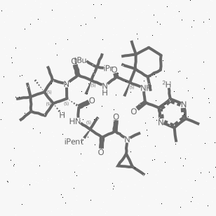 [2H]c1nc(C)c(C)nc1C(=O)N[C@](C)(C(=O)N[C@](C)(C(=O)N1C(C)[C@@]2(C)[C@H](CC(C)C2(C)C)[C@H]1C(=O)N[C@](C)(C(=O)C(=O)N(C)C1CC1C)C(C)CCC)C(C)(C(C)C)C(C)(C)C)C1(C)C(C)CCCC1(C)C